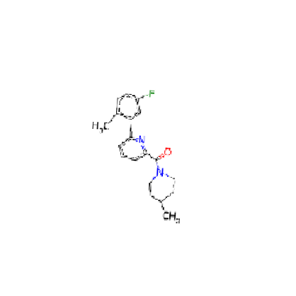 Cc1ccc(F)cc1-c1cccc(C(=O)N2CCC(C)CC2)n1